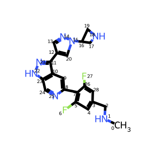 CNCc1cc(F)c(-c2cc3c(-c4cnn(C5CNC5)c4)n[nH]c3cn2)c(F)c1